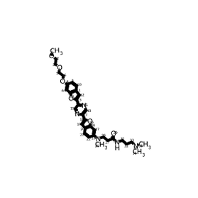 COCCOCCOc1ccc2cc(-c3cnc(-c4cc5ccc(N(C)CCC(=O)NCCCN(C)C)cc5o4)cn3)oc2c1